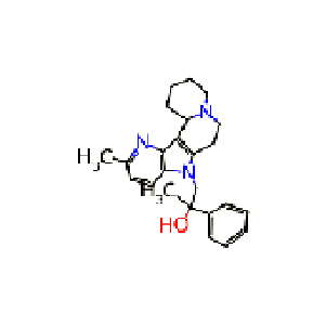 Cc1ccc2c(n1)c1c(n2CC(C)(O)c2ccccc2)CCN2CCCCC12